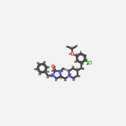 CC(C)Oc1ccc(Cl)c(CC2CCN(CC3CN(Cc4ccccc4)C(=O)N3C)CC2)c1